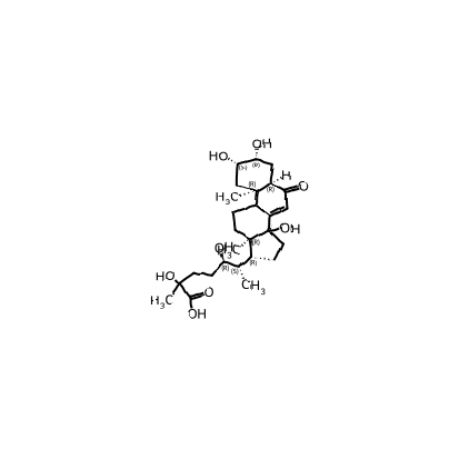 C[C@H]([C@H](O)CCC(C)(O)C(=O)O)[C@H]1CCC2(O)C3=CC(=O)[C@@H]4C[C@@H](O)[C@@H](O)C[C@]4(C)C3CC[C@]12C